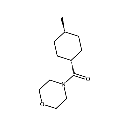 C[C@H]1CC[C@H](C(=O)N2CCOCC2)CC1